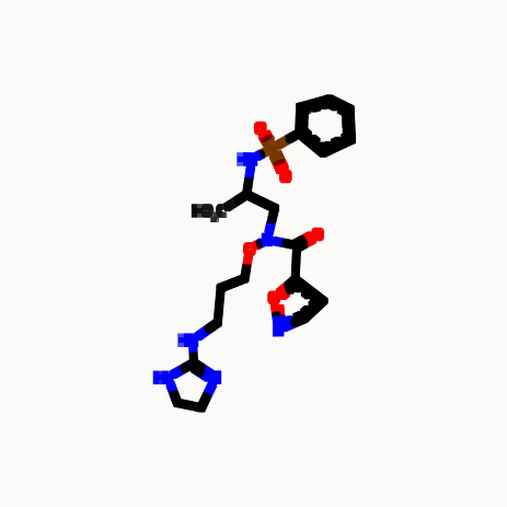 O=C(O)C(CN(OCCCNC1=NCCN1)C(=O)c1ccno1)NS(=O)(=O)c1ccccc1